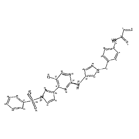 C=CC(=O)Nc1ccc(Cn2cc(Nc3ncc(Cl)c(-c4ccn(S(=O)(=O)c5ccccc5)n4)n3)cn2)cc1